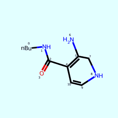 CCCCNC(=O)C1=C(N)CNC=C1